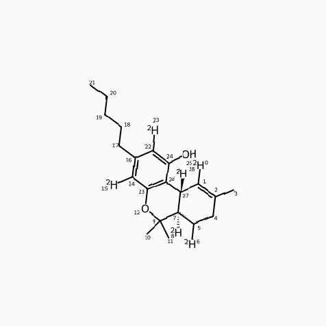 [2H]C1=C(C)CC([2H])[C@@]2([2H])C(C)(C)Oc3c([2H])c(CCCCC)c([2H])c(O)c3[C@]12[2H]